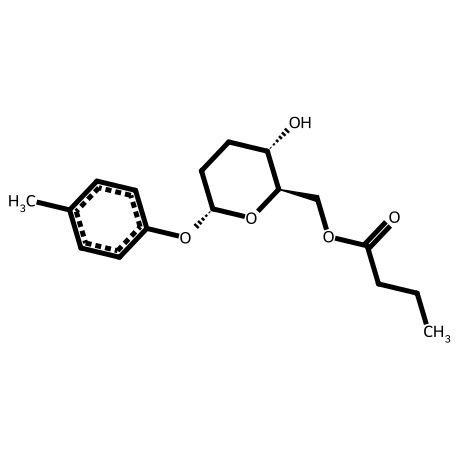 CCCC(=O)OC[C@H]1O[C@H](Oc2ccc(C)cc2)CC[C@@H]1O